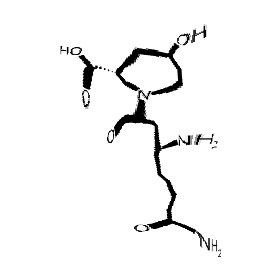 NC(=O)CC[C@H](N)C(=O)N1CC(O)C[C@H]1C(=O)O